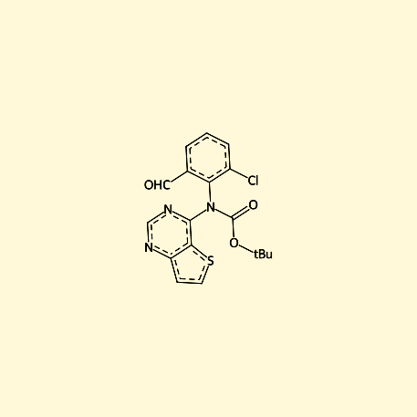 CC(C)(C)OC(=O)N(c1c(Cl)cccc1C=O)c1ncnc2ccsc12